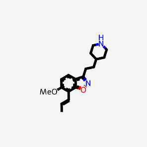 C/C=C/c1c(OC)ccc2c(CCC3CCNCC3)noc12